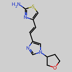 Nc1nc(C=Cc2cn(C3CCOC3)cn2)cs1